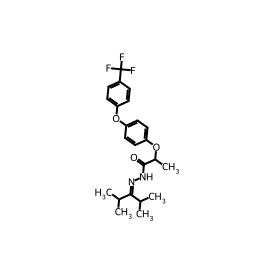 CC(C)C(=NNC(=O)C(C)Oc1ccc(Oc2ccc(C(F)(F)F)cc2)cc1)C(C)C